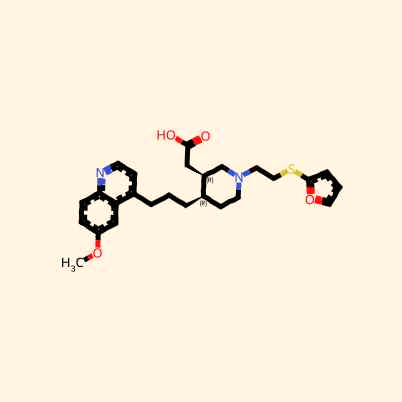 COc1ccc2nccc(CCC[C@@H]3CCN(CCSc4ccco4)C[C@@H]3CC(=O)O)c2c1